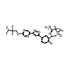 CN=[S@@]1(=O)C[C@@](C)(c2cc(-c3cc(-c4cnc(OCC(F)(F)C(F)F)cn4)no3)ccc2F)N=C(N)C1(C)C